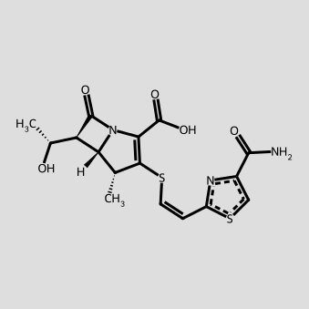 C[C@@H](O)[C@H]1C(=O)N2C(C(=O)O)=C(S/C=C\c3nc(C(N)=O)cs3)[C@H](C)[C@H]12